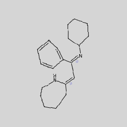 C(=C1\CCCCCN1)/C(=N/C1CCCCC1)c1ccccc1